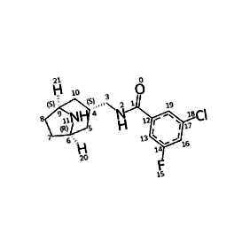 O=C(NC[C@@H]1C[C@H]2CC[C@@H](C1)N2)c1cc(F)cc(Cl)c1